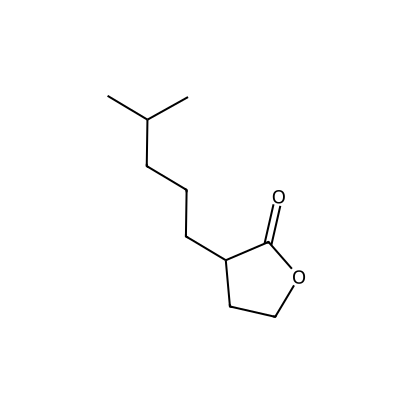 CC(C)CCCC1CCOC1=O